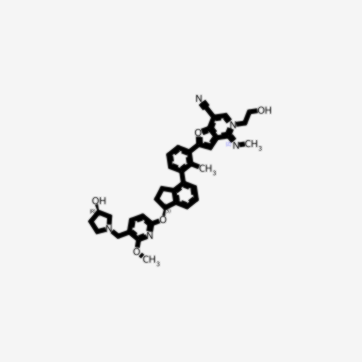 C/N=c1/c2cc(-c3cccc(-c4cccc5c4CC[C@@H]5Oc4ccc(CN5CC[C@@H](O)C5)c(OC)n4)c3C)oc2c(C#N)cn1CCO